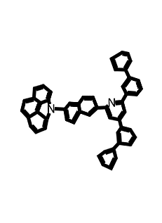 c1ccc(-c2cccc(-c3cc(-c4cccc(-c5ccccc5)c4)nc(-c4ccc5cc(-n6c7cccc8ccc9cccc6c9c87)ccc5c4)c3)c2)cc1